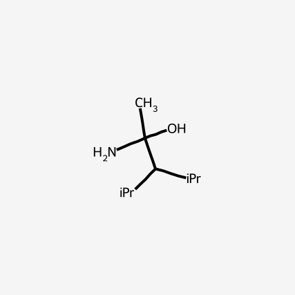 CC(C)C(C(C)C)C(C)(N)O